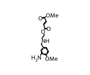 COC(=O)/C=C/C(=O)OCCNCc1ccc(OC)c(N)c1